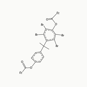 CCC(=O)Oc1ccc(C(C)(C)c2c(Br)c(Br)c(OC(=O)CC)c(Br)c2Br)cc1